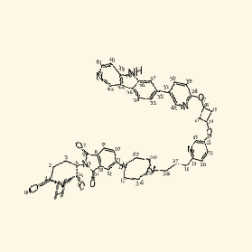 O=C1CCC(N2C(=O)c3ccc(N4CCN(CCCc5ccc(OC6CC(Oc7ccc(-c8ccc9c(c8)[nH]c8ccncc89)cn7)C6)cn5)CC4)cc3C2=O)C(=O)N1